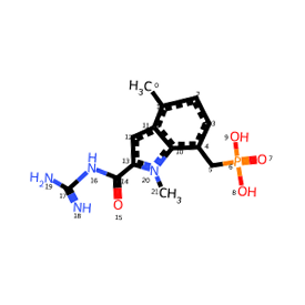 Cc1ccc(CP(=O)(O)O)c2c1cc(C(=O)NC(=N)N)n2C